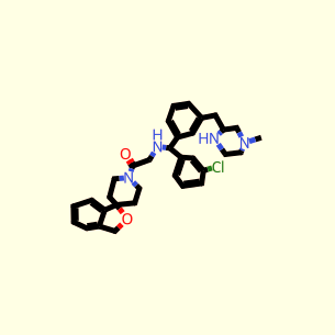 CN1CCNC(Cc2cccc(C(NCC(=O)N3CCC4(CC3)OCc3ccccc34)c3cccc(Cl)c3)c2)C1